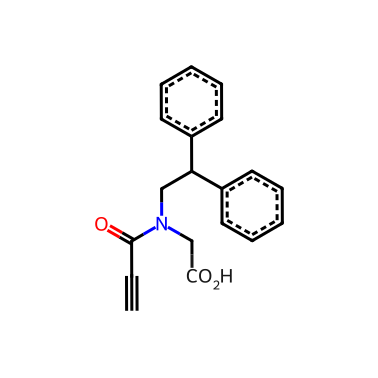 C#CC(=O)N(CC(=O)O)CC(c1ccccc1)c1ccccc1